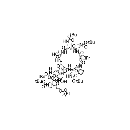 CCC(C)(C)C(=O)OCCC(=O)N1CCN(C(=O)OC(C)(C)C)CC1C(=O)N[C@H](C(=O)N[C@@H](CCNC(=O)OC(C)(C)C)C(=O)N[C@H]1CCNC(=O)[C@H](C(C)O)NC(=O)[C@H](CCNC(=O)OC(C)(C)C)NC(=O)[C@H](CCNC(=O)OC(C)(C)C)NC(=O)[C@H](CC(C)C)NC(=O)[C@@H](Cc2ccccc2)NC(=O)[C@H](CCNC(=O)OC(C)(C)C)NC1=O)C(C)O